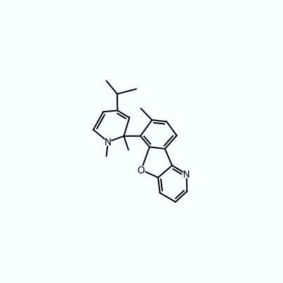 Cc1ccc2c(oc3cccnc32)c1C1(C)C=C(C(C)C)C=CN1C